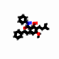 C=C(C)CCc1c(OC)cc(C=Cc2ccccc2)c(C(=O)Nc2ccccc2)c1O